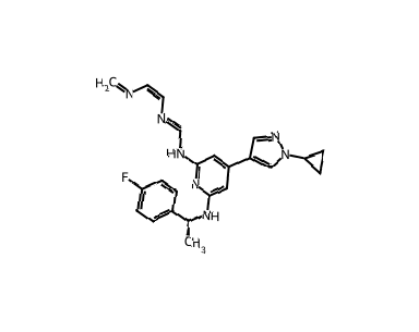 C=N/C=C\N=C\Nc1cc(-c2cnn(C3CC3)c2)cc(N[C@@H](C)c2ccc(F)cc2)n1